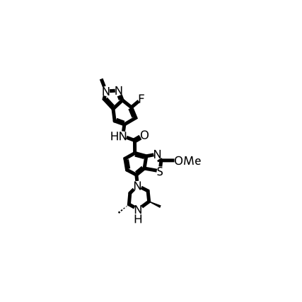 COc1nc2c(C(=O)Nc3cc(F)c4nn(C)cc4c3)ccc(N3C[C@@H](C)N[C@H](C)C3)c2s1